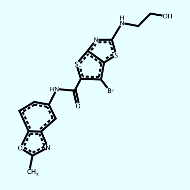 Cc1nc2cc(NC(=O)c3sc4nc(NCCO)sc4c3Br)ccc2o1